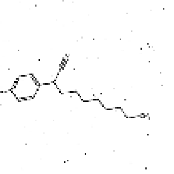 CCCCCCCCC(C#N)c1ccc(F)cc1